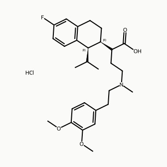 COc1ccc(CCN(C)CCC(C(=O)O)[C@@H]2CCc3cc(F)ccc3[C@@H]2C(C)C)cc1OC.Cl